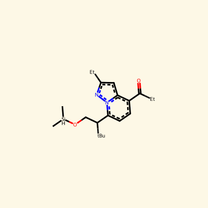 CCC(=O)c1ccc(C(CO[SiH](C)C)C(C)(C)C)n2nc(CC)cc12